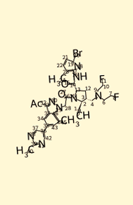 C#C[C@@H]1[C@@H](CN(CCF)CCF)C[C@@H](C(=O)Nc2nc(Br)ccc2C)N1C(=O)Cn1nc(C(C)=O)c2cc(-c3cnc(C)nc3)cc(C)c21